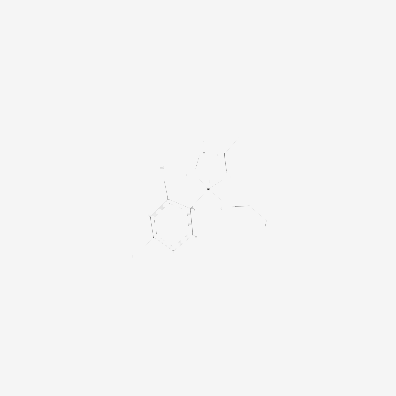 CCOC(O[SiH3])(OCC)c1ccc(F)cc1F